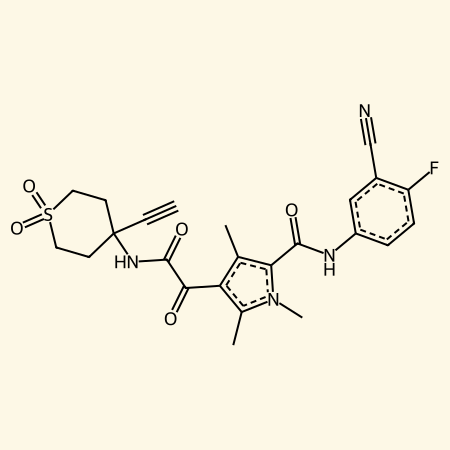 C#CC1(NC(=O)C(=O)c2c(C)c(C(=O)Nc3ccc(F)c(C#N)c3)n(C)c2C)CCS(=O)(=O)CC1